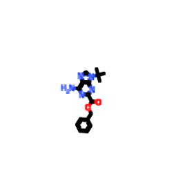 CC(C)(C)n1cnc2c(N)nc(C(=O)OCc3ccccc3)nc21